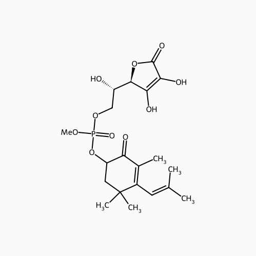 COP(=O)(OC[C@H](O)[C@H]1OC(=O)C(O)=C1O)OC1CC(C)(C)C(C=C(C)C)=C(C)C1=O